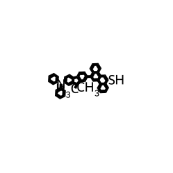 CC1(C)c2cc(-c3cc4c5ccccc5c(S)cc4c4ccccc34)ccc2-c2ccc(N(c3ccccc3)c3ccccc3)cc21